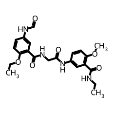 CCNC(=O)c1cc(NC(=O)CNC(=O)c2cc(NC=O)ccc2OCC)ccc1OC